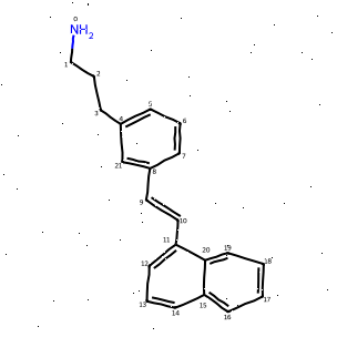 NCCCc1cccc(C=Cc2cccc3ccccc23)c1